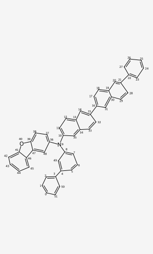 c1ccc(-c2cccc(N(c3ccc4cc(-c5ccc6cc(-c7ccccc7)ccc6c5)ccc4c3)c3ccc4oc5ccccc5c4c3)c2)cc1